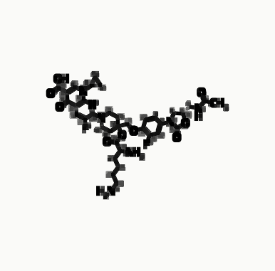 CC(=O)NC[C@H]1CN(c2ccc(OCC3(OC(=O)C(N)CCCCN)CCN(c4nc5c(cc4F)c(=O)c(C(=O)O)cn5C4CC4)CC3)c(F)c2)C(=O)O1